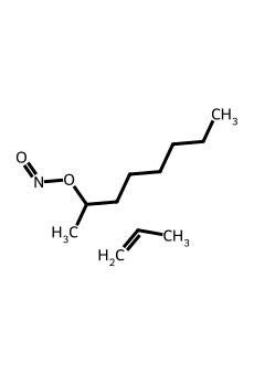 C=CC.CCCCCCC(C)ON=O